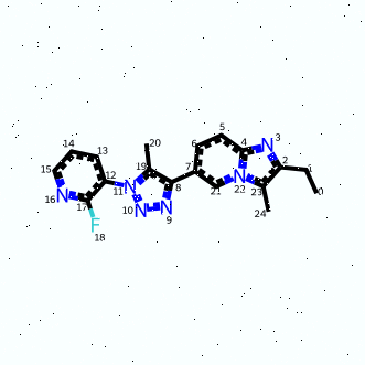 CCc1nc2ccc(-c3nnn(-c4cccnc4F)c3C)cn2c1C